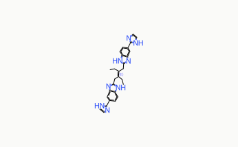 CC/C(Cc1nc2cc(-c3ncc[nH]3)ccc2[nH]1)=C(/CC)Cc1nc2cc(-c3ncc[nH]3)ccc2[nH]1